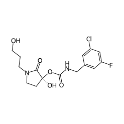 O=C(NCc1cc(F)cc(Cl)c1)O[C@@]1(O)CCN(CCCO)C1=O